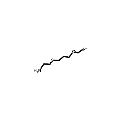 CC(C)COCCCSCCN